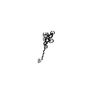 O=C1CCC(N2C(=O)c3ccc(OCCCCCCCCBr)cc3C2=O)C(=O)N1